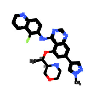 C[C@@H](Oc1cc(-c2cnn(C)c2)cc2ncnc(Nc3ccc4ncccc4c3F)c12)[C@@H]1COCCN1